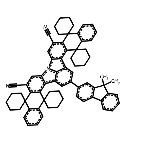 CC1(C)c2ccccc2-c2ccc(-c3cc4c5c6c(c(C#N)cc5n5c7cc(C#N)c8c(c7c(c3)c45)C3(CCCCC3)c3ccccc3C83CCCCC3)C3(CCCCC3)c3ccccc3C63CCCCC3)cc21